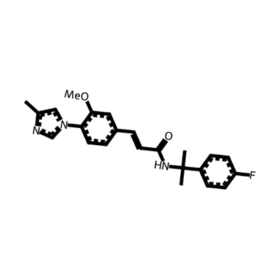 COc1cc(/C=C/C(=O)NC(C)(C)c2ccc(F)cc2)ccc1-n1cnc(C)c1